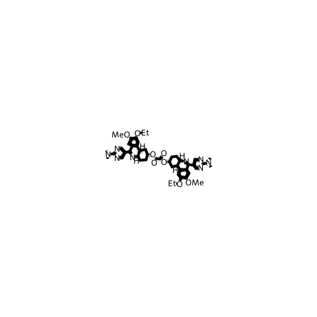 CCOc1cc2c(cc1OC)C(c1cnc(N(C)C)nc1)=N[C@@H]1CC[C@@H](OC(=O)C(=O)O[C@@H]3CC[C@H]4N=C(c5cnc(N(C)C)nc5)c5cc(OC)c(OCC)cc5[C@H]4C3)C[C@H]21